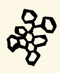 C1=CC[C]([Zr](=[C](c2ccccc2)c2ccccc2)[c]2cccc3c2c2c(c4ccccc43)-c3ccccc3C2)=C1